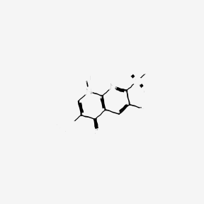 CCn1cc(C(=O)O)c(=O)c2cc(F)c(S(=O)(=O)CC)nc21